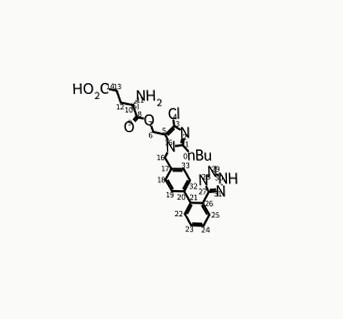 CCCCc1nc(Cl)c(COC(=O)[C@@H](N)CCC(=O)O)n1Cc1ccc(-c2ccccc2-c2nn[nH]n2)cc1